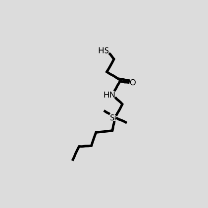 CCCCC[Si](C)(C)CNC(=O)CCS